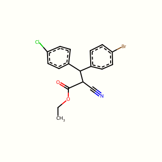 CCOC(=O)C(C#N)C(c1ccc(Cl)cc1)c1ccc(Br)cc1